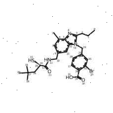 CCCc1nc2c(C)cc(CNC(=O)[C@H](S)CC(C)(C)C)cc2n1Cc1ccc(C(=O)O)c(Br)c1